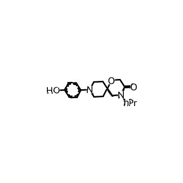 CCCN1CC2(CCN(c3ccc(O)cc3)CC2)OCC1=O